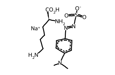 CN(C)c1ccc(/N=N/S(=O)(=O)[O-])cc1.NCCCC[C@H](N)C(=O)O.[Na+]